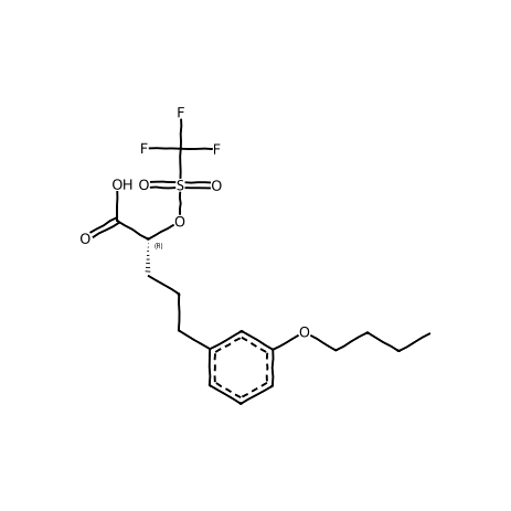 CCCCOc1cccc(CCC[C@@H](OS(=O)(=O)C(F)(F)F)C(=O)O)c1